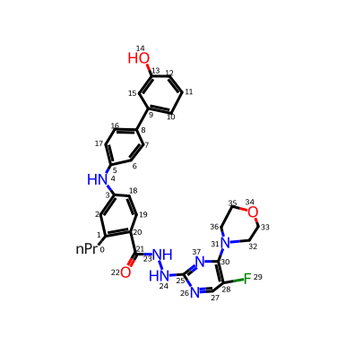 CCCc1cc(Nc2ccc(-c3cccc(O)c3)cc2)ccc1C(=O)NNc1ncc(F)c(N2CCOCC2)n1